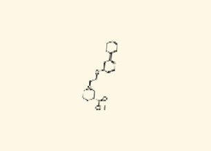 O=C(O)[C@@H]1CCCN(CCOc2cccc(-c3ccccc3)c2)C1